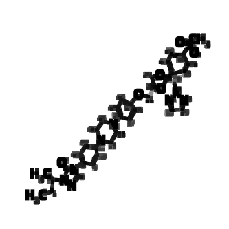 CCC(C)n1ncn(-c2ccc(N3CCN(c4ccc(OC[C@@H]5CO[C@@](Cn6nccn6)(c6ccc(S(C)(=O)=O)cc6)O5)cc4)CC3)cc2)c1=O